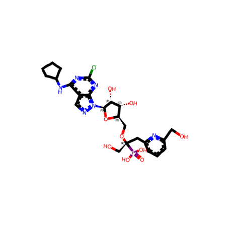 O=P(O)(O)[C@@](CO)(Cc1cccc(CO)n1)OC[C@H]1O[C@@H](n2ncc3c(NC4CCCC4)nc(Cl)nc32)[C@H](O)[C@@H]1O